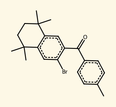 Cc1ccc(C(=O)c2cc3c(cc2Br)C(C)(C)CCC3(C)C)cc1